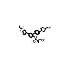 C=CC(=O)Oc1ccc(-c2ccc(OC(=O)C(=C)COC)c(-c3ccc(C4CCC(CCC)CC4)cc3)c2)cc1